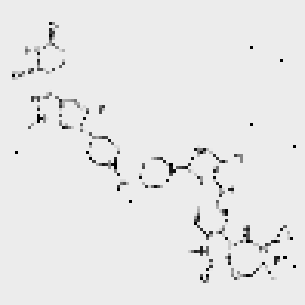 C[C@H](C1CCN(c2ncc(Cl)c(Nc3ccc4c(c3)c3c(c(=O)n4C)OCC(F)(F)[C@H](C4CC4)N3)n2)CC1)N1CCC(c2cc3c(cc2F)c(C2CCC(=O)NC2=O)nn3C)CC1